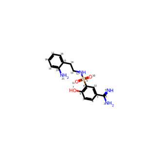 N=C(N)c1ccc(O)c(S(=O)(=O)NCCc2ccccc2N)c1